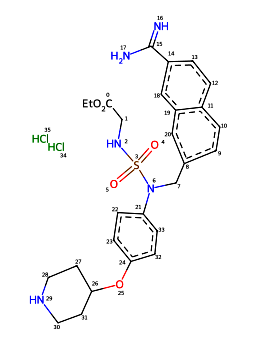 CCOC(=O)CNS(=O)(=O)N(Cc1ccc2ccc(C(=N)N)cc2c1)c1ccc(OC2CCNCC2)cc1.Cl.Cl